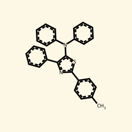 Cc1ccc(-c2nc(-c3ccccc3)c(N(c3ccccc3)c3ccccc3)s2)cc1